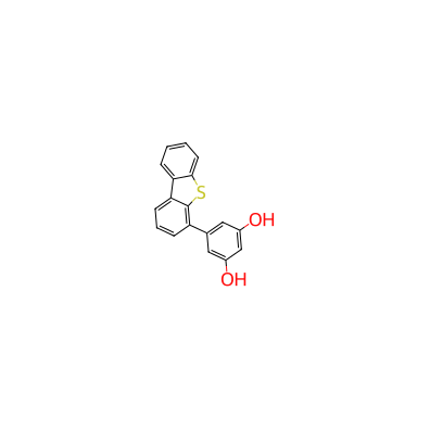 Oc1cc(O)cc(-c2cccc3c2sc2ccccc23)c1